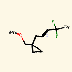 CC(C)OCC1(C/C=C/C(F)(F)C(C)C)CC1